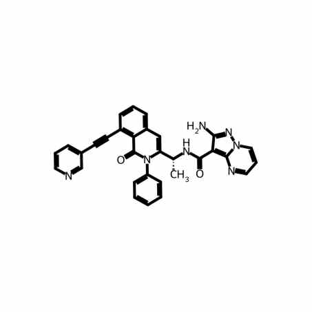 C[C@@H](NC(=O)c1c(N)nn2cccnc12)c1cc2cccc(C#Cc3cccnc3)c2c(=O)n1-c1ccccc1